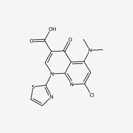 CN(C)c1cc(Cl)nc2c1c(=O)c(C(=O)O)cn2-c1nccs1